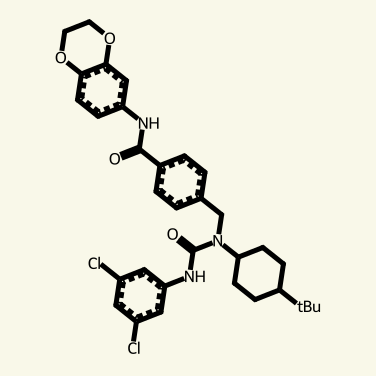 CC(C)(C)C1CCC(N(Cc2ccc(C(=O)Nc3ccc4c(c3)OCCO4)cc2)C(=O)Nc2cc(Cl)cc(Cl)c2)CC1